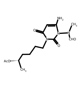 CC(=O)O[C@@H](C)CCCCn1c(=O)cc(N)n(N(C)C=O)c1=O